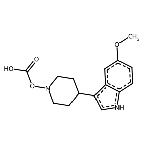 COc1ccc2[nH]cc(C3CCN(OC(=O)O)CC3)c2c1